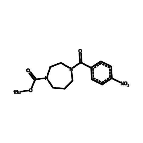 CC(C)(C)OC(=O)N1CCCN(C(=O)c2ccc([N+](=O)[O-])cc2)CC1